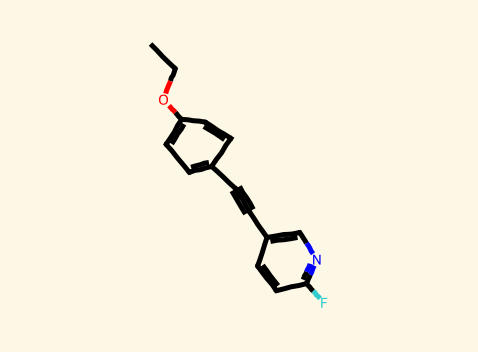 CCOc1ccc(C#Cc2ccc(F)nc2)cc1